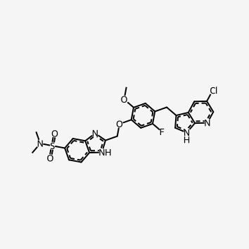 COc1cc(Cc2c[nH]c3ncc(Cl)cc23)c(F)cc1OCc1nc2cc(S(=O)(=O)N(C)C)ccc2[nH]1